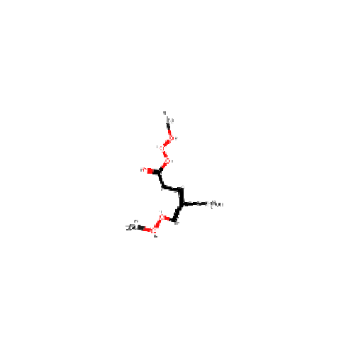 CCCCCCCCCC(CCC(=O)OOOC(C)(C)C)COOC(C)(C)C